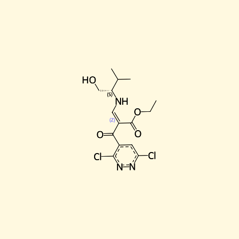 CCOC(=O)/C(=C\N[C@H](CO)C(C)C)C(=O)c1cc(Cl)nnc1Cl